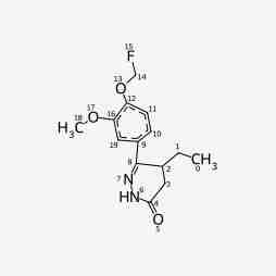 CCC1CC(=O)NN=C1c1ccc(OCF)c(OC)c1